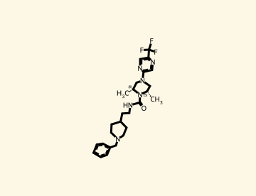 C[C@@H]1CN(c2cnc(C(F)(F)F)cn2)C[C@H](C)N1C(=O)NCCC1CCN(Cc2ccccc2)CC1